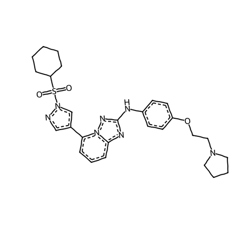 O=S(=O)(C1CCCCC1)n1cc(-c2cccc3nc(Nc4ccc(OCCN5CCCC5)cc4)nn23)cn1